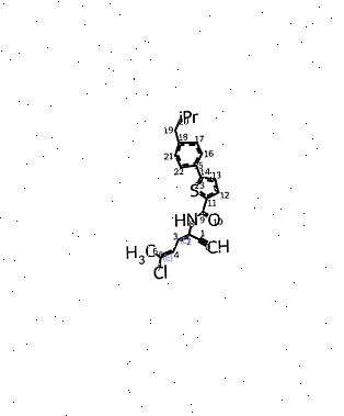 C#C/C(=C\C=C(/C)Cl)NC(=O)c1ccc(-c2ccc(CC(C)C)cc2)s1